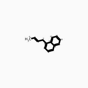 CC=CCc1cccc2ccccc12